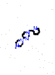 CN1CCN(C2=NCN(Cc3ccccn3)C=C2)CC1